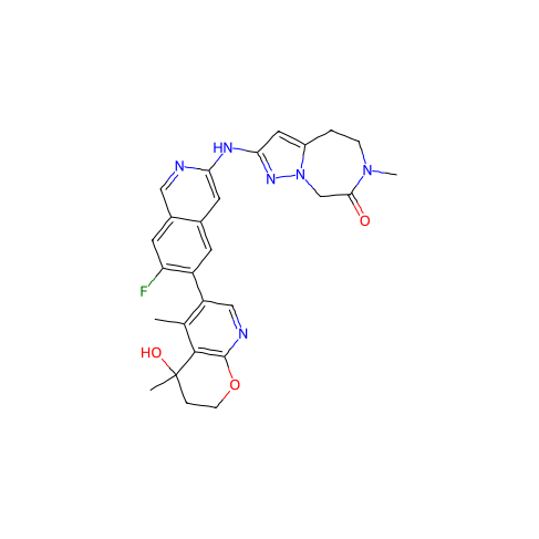 Cc1c(-c2cc3cc(Nc4cc5n(n4)CC(=O)N(C)CC5)ncc3cc2F)cnc2c1C(C)(O)CCO2